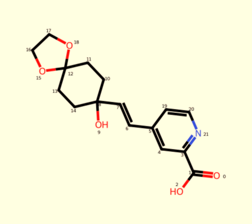 O=C(O)c1cc(/C=C/C2(O)CCC3(CC2)OCCO3)ccn1